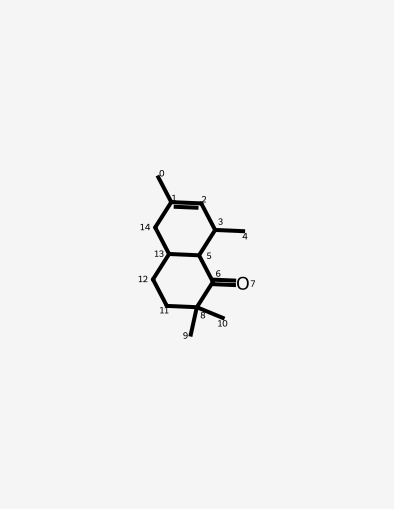 CC1=CC(C)C2C(=O)C(C)(C)CCC2C1